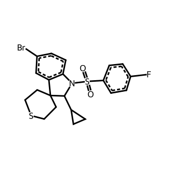 O=S(=O)(c1ccc(F)cc1)N1c2ccc(Br)cc2C2(CCSCC2)C1C1CC1